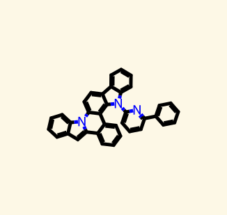 c1ccc(-c2cccc(-n3c4ccccc4c4ccc5c(c6ccccc6c6cc7ccccc7n65)c43)n2)cc1